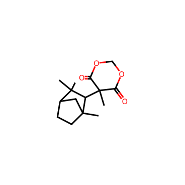 CC12CCC(C1)C(C)(C)C2C1(C)C(=O)OCOC1=O